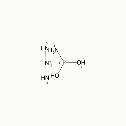 N=[N+]=N.NP(O)O